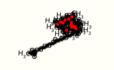 CCCN1C(=O)CC(SCCOCCOCCOCCOCC(=O)CCCOCCOCCOCCO[C@H]2[C@H](OC)[C@@H](OC)[C@@H](O[C@H]3[C@H](OC)[C@@H](OC)[C@H](O[C@H]4[C@H](OS(=O)(=O)OC)[C@@H](OS(=O)(=O)OC)[C@@H](O[C@H]5[C@H](OC)[C@@H](OC)[C@H](O[C@H]6[C@H](OS(=O)(=O)OC)[C@@H](OS(=O)(=O)OC)[C@@H](OC)O[C@@H]6COS(=O)(=O)OC)O[C@H]5C(=O)OC)O[C@@H]4COS(=O)(=O)OC)O[C@@H]3C(=O)OC)O[C@@H]2COS(=O)(=O)OC)C1=O